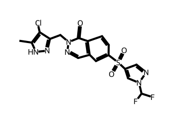 Cc1[nH]nc(Cn2ncc3cc(S(=O)(=O)c4cnn(C(F)F)c4)ccc3c2=O)c1Cl